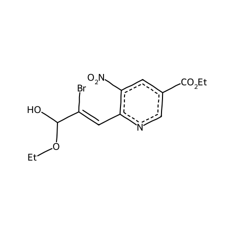 CCOC(=O)c1cnc(C=C(Br)C(O)OCC)c([N+](=O)[O-])c1